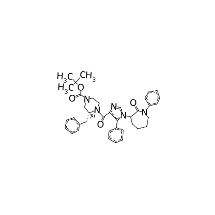 CC(C)(C)OC(=O)N1CCN(C(=O)c2ncn(C3CCCCN(c4ccccc4)C3=O)c2-c2ccccc2)[C@H](Cc2ccccc2)C1